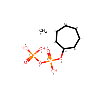 C.O=P(O)(O)OP(=O)(O)OC1CCCCCC1